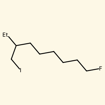 CCC(CI)CCCCCCF